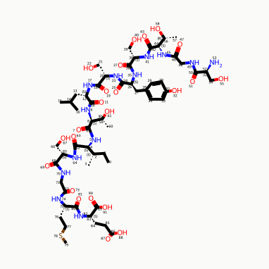 CC[C@H](C)[C@H](NC(=O)[C@@H](NC(=O)[C@H](CC(C)C)NC(=O)[C@H](CO)NC(=O)[C@H](Cc1ccc(O)cc1)NC(=O)[C@H](CO)NC(=O)[C@@H](NC(=O)CNC(=O)[C@@H](N)CO)[C@@H](C)O)[C@@H](C)O)C(=O)N[C@@H](CO)C(=O)NCC(=O)N[C@@H](CCSC)C(=O)N[C@@H](CCC(=O)O)C(=O)O